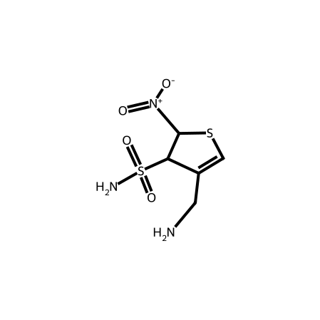 NCC1=CSC([N+](=O)[O-])C1S(N)(=O)=O